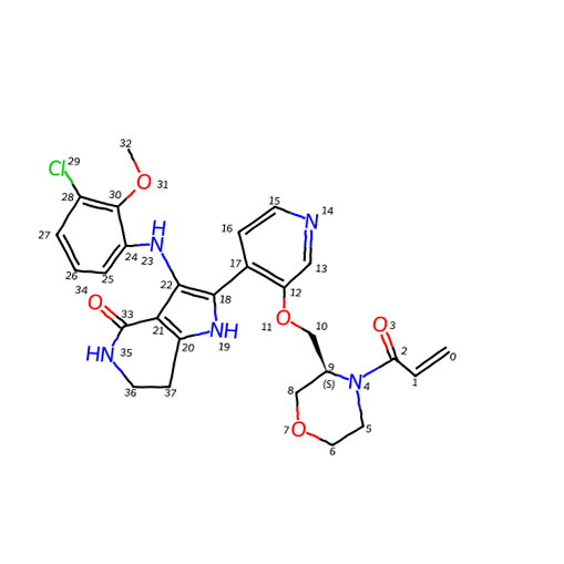 C=CC(=O)N1CCOC[C@H]1COc1cnccc1-c1[nH]c2c(c1Nc1cccc(Cl)c1OC)C(=O)NCC2